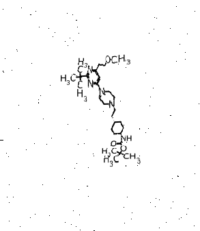 COCCc1cc(N2CCN(CC[C@H]3CC[C@H](NC(=O)OC(C)(C)C)CC3)CC2)nc(C(C)(C)C)n1